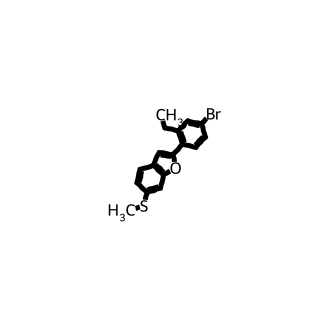 CCc1cc(Br)ccc1-c1cc2ccc(SC)cc2o1